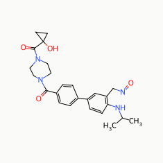 CC(C)Nc1ccc(-c2ccc(C(=O)N3CCN(C(=O)C4(O)CC4)CC3)cc2)cc1CN=O